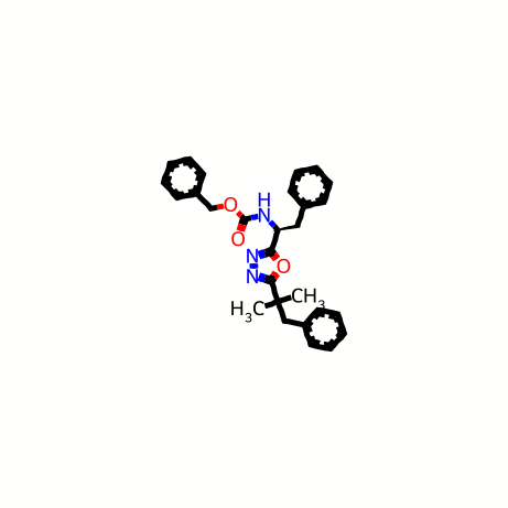 CC(C)(Cc1ccccc1)c1nnc([C@H](Cc2ccccc2)NC(=O)OCc2ccccc2)o1